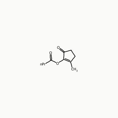 CCCC(=O)OC1=C(C)CCC1=O